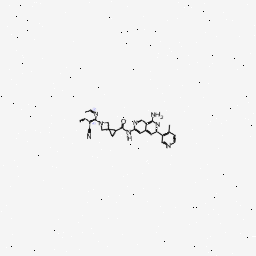 C=C/C(C#N)=C(\N=C/C)N1CC2(CC2C(=O)Nc2cc3cc(-c4cnccc4C)nc(N)c3cn2)C1